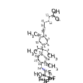 CCC(CC)(c1ccc(C#CCCCC(=O)O)c(C)c1)c1ccc(/C=C/C(O)(C(F)(F)F)C(F)(F)F)c(C)c1